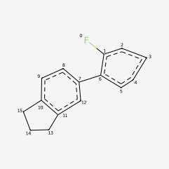 Fc1ccccc1-c1ccc2c(c1)CCC2